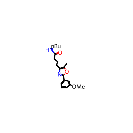 CCCCNC(=O)CCCc1nc(-c2cccc(OC)c2)oc1C